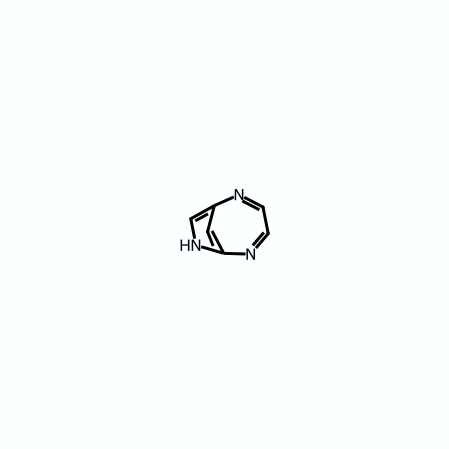 C1=Nc2c[nH]c(c2)N=C1